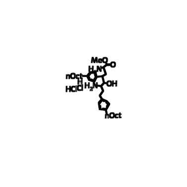 CCCCCCCCc1ccc(CCC(N)C(O)C(CC(N)C(=O)OC)c2ccc(CCCCCCCC)cc2)cc1.Cl.Cl